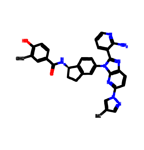 N#Cc1cnn(-c2ccc3nc(-c4cccnc4N)n(-c4ccc5c(c4)CC[C@@H]5NC(=O)c4ccc(O)c(C=O)c4)c3n2)c1